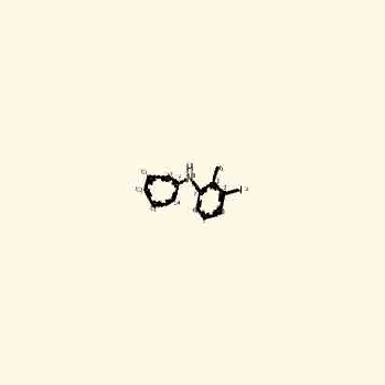 Cc1c(I)cccc1Nc1ccccc1